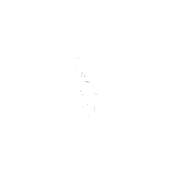 O=[C][C](c1ccccc1)N1CCC[C]1C(=O)N1c2ccccc21